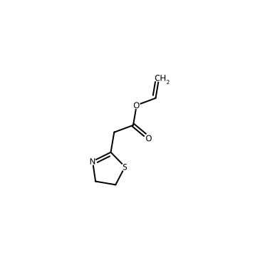 C=COC(=O)CC1=NCCS1